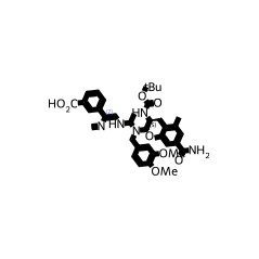 C=N/C(=C\NC(C)N(Cc1ccc(OC)c(OC)c1)C(=O)[C@H](Cc1c(C)cc(C(N)=O)cc1C)NC(=O)OC(C)(C)C)c1cccc(C(=O)O)c1